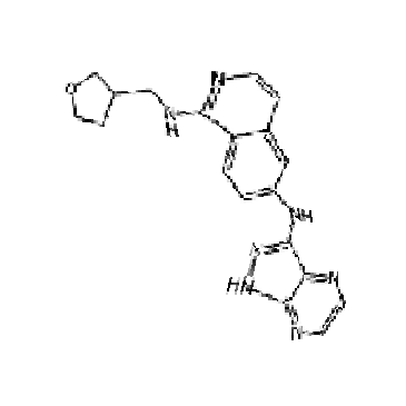 c1cc2cc(Nc3n[nH]c4nccnc34)ccc2c(NCC2CCOC2)n1